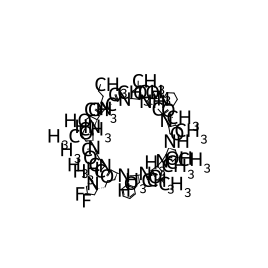 CCCCN1CC(=O)N(C)[C@@H](CC(C)C)C(=O)N[C@H](C(=O)N2CCCCC2)CC(=O)N(C)[C@@H](CC)C(=O)N[C@@H](CC(C)C)C(O)N(C)[C@@H](CC(C)C)C(=O)N(C)[C@@H](Cc2ccccc2)C(=O)N[C@@H](CCC[C@@H]2CC(F)(F)CN2)C(=O)N(C)[C@@H](C)C(=O)N(C)[C@@H](CC(C)C)C(=O)N[C@@H]([C@@H](C)O)C1=O